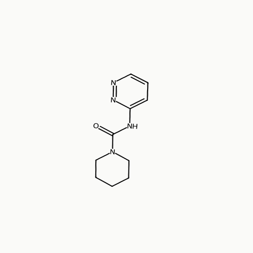 O=C(Nc1cccnn1)N1CCCCC1